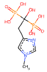 Cn1cnc(CC(O)(P(=O)(O)O)P(=O)(O)O)c1